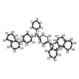 C1=C(N(c2ccccc2)c2ccc(-c3cccc4ccccc34)cc2)CCC(n2c3ccccc3c3c4ccccc4ccc32)=C1